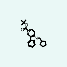 CC(C)(C)OC(=O)N1CCc2c(c3ccccc3n2CC2CCCC2)C1